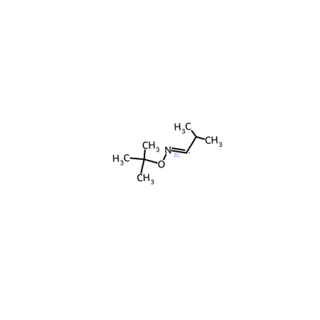 CC(C)/[C]=N/OC(C)(C)C